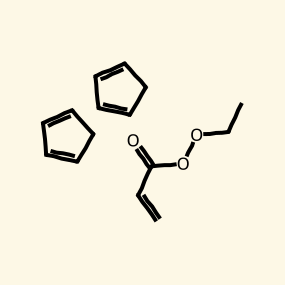 C1=CCC=C1.C1=CCC=C1.C=CC(=O)OOCC